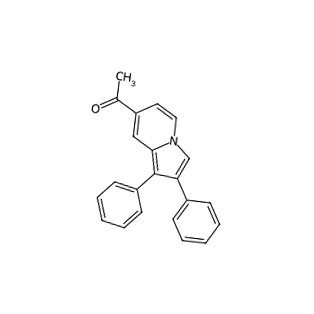 CC(=O)c1ccn2cc(-c3ccccc3)c(-c3ccccc3)c2c1